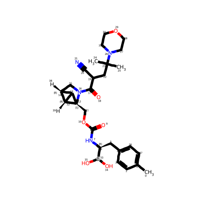 Cc1ccc(C[C@H](NC(=O)OC[C@@]23C4[C@@H](CN2C(=O)C(C#N)CC(C)(C)N2CCOCC2)[C@H]43)B(O)O)cc1